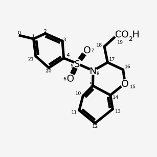 Cc1ccc(S(=O)(=O)N2c3ccccc3OCC2CC(=O)O)cc1